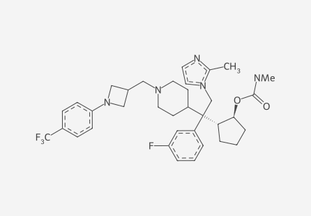 CNC(=O)O[C@H]1CCC[C@@H]1C(Cn1ccnc1C)(c1cccc(F)c1)C1CCN(CC2CN(c3ccc(C(F)(F)F)cc3)C2)CC1